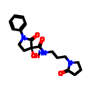 O=C1CCCN1CCCNC(=O)[C@@]1(O)CCN(c2ccccc2)C1=O